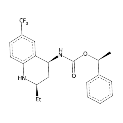 CC[C@@H]1C[C@H](NC(=O)O[C@@H](C)c2ccccc2)c2cc(C(F)(F)F)ccc2N1